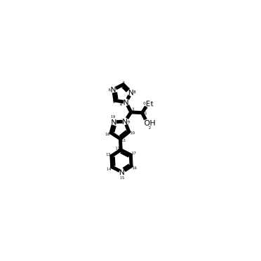 CCC(O)C(n1cncn1)n1cc(-c2ccncc2)cn1